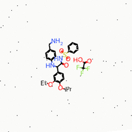 CCOc1cc(C(Nc2ccc(CN)cc2)C(=O)NS(=O)(=O)c2ccccc2)ccc1OC(C)C.O=C(O)C(F)(F)F